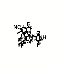 Cc1c(C#N)cc(C(F)F)cc1Oc1c(C(F)(F)C(C)(F)F)ncn(Cc2cc(F)c[nH]c2=O)c1=O